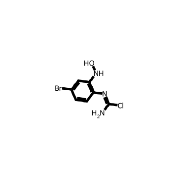 N/C(Cl)=N\c1ccc(Br)cc1NO